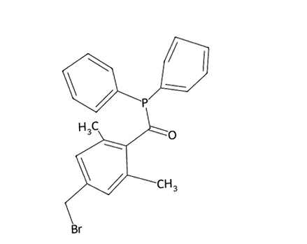 Cc1cc(CBr)cc(C)c1C(=O)P(c1ccccc1)c1ccccc1